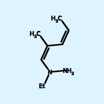 C/C=C\C(C)=C/N(N)CC